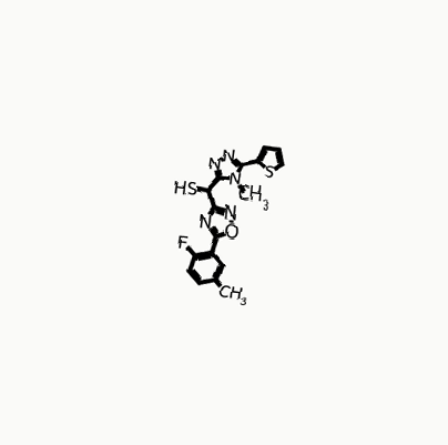 Cc1ccc(F)c(-c2nc(C(S)c3nnc(-c4cccs4)n3C)no2)c1